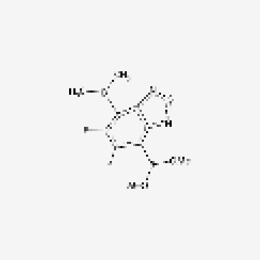 COB(OC)c1c(F)c(F)c(B(C)C)c2nsnc12